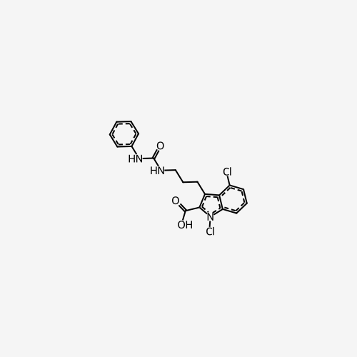 O=C(NCCCc1c(C(=O)O)n(Cl)c2cccc(Cl)c12)Nc1ccccc1